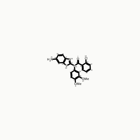 COc1ccc(N(C(=O)c2ccccc2Cl)c2nc3ccc(N)cc3s2)cc1OC